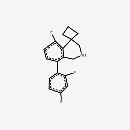 Fc1ccc(-c2ccc(F)c3c2CNCC32CCC2)c(F)c1